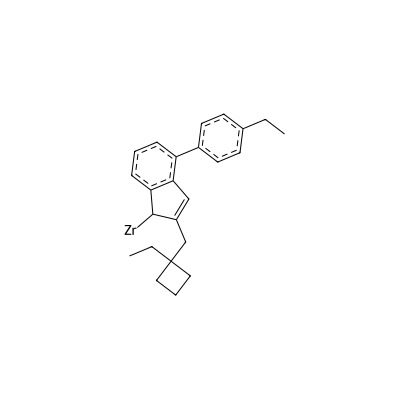 CCc1ccc(-c2cccc3c2C=C(CC2(CC)CCC2)[CH]3[Zr])cc1